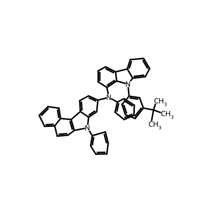 CC(C)(C)c1cccc(-n2c3ccccc3c3cccc(N(c4ccccc4)c4ccc5c6c7ccccc7ccc6n(-c6ccccc6)c5c4)c32)c1